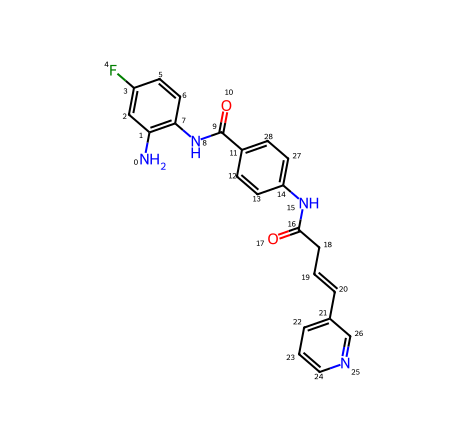 Nc1cc(F)ccc1NC(=O)c1ccc(NC(=O)C/C=C/c2cccnc2)cc1